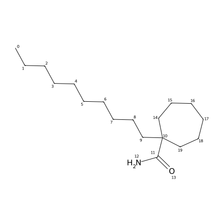 CCCCCCCCCCC1(C(N)=O)CCCCCC1